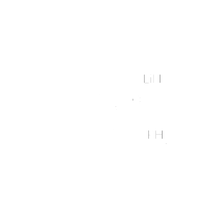 Cc1c(C)c(C)c(C(=O)c2ccccc2P)c(C)c1C.[LiH]